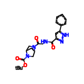 CC(C)(C)OC(=O)N1CC2CC1CN2C(=O)CNC(=O)c1cc(-c2ccccc2)[nH]n1